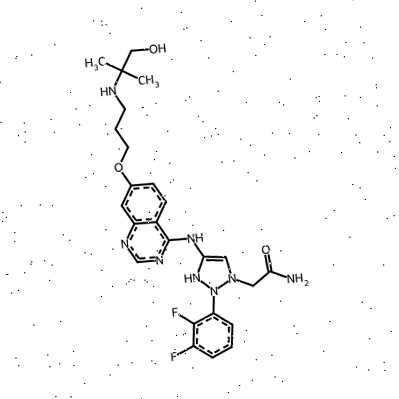 CC(C)(CO)NCCCOc1ccc2c(NC3=CN(CC(N)=O)N(c4cccc(F)c4F)N3)ncnc2c1